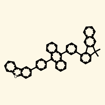 CC1(C)c2cc3ccccc3cc2-c2c(-c3cccc(-c4c5ccccc5c(-c5ccc(-c6ccc7oc8ccccc8c7c6)cc5)c5ccccc45)c3)cccc21